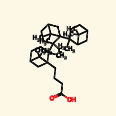 CC1(C)C2CCC(C)(C34CC(CCC3(C)C3(C)CCC5CC3(CCCC(=O)O)C5(C)C)C4(C)C)C1C2